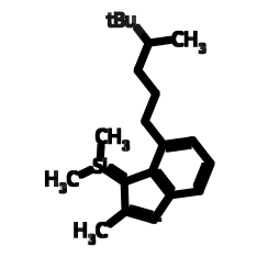 CC1=[C]c2cccc(CCCC(C)C(C)(C)C)c2C1=[Si](C)C